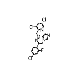 Fc1cc(Cl)ccc1/C(Cn1ccnc1)=N/OCc1ncc(Cl)cc1Cl